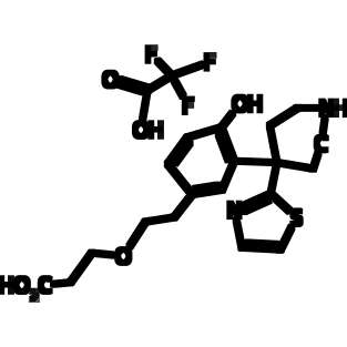 O=C(O)C(F)(F)F.O=C(O)CCOCCc1ccc(O)c(C2(c3nccs3)CCNCC2)c1